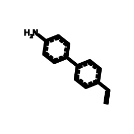 C=Cc1ccc(-c2ccc(N)cc2)cc1